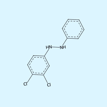 Clc1ccc(NNc2ccccc2)cc1Cl